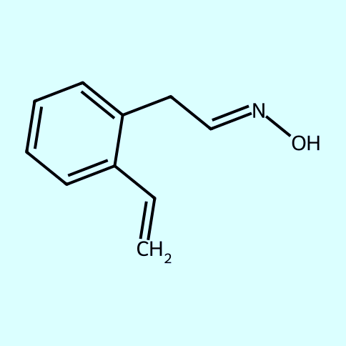 C=Cc1ccccc1CC=NO